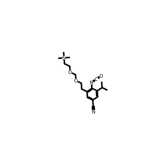 CC(C)c1cc(C#N)cc(CCOCOCC[Si](C)(C)C)c1N=C=O